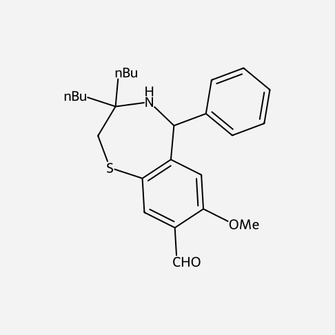 CCCCC1(CCCC)CSc2cc(C=O)c(OC)cc2C(c2ccccc2)N1